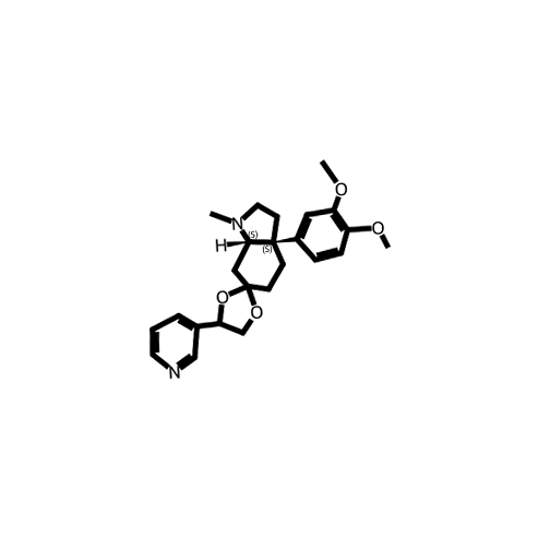 COc1ccc([C@]23CCN(C)[C@H]2CC2(CC3)OCC(c3cccnc3)O2)cc1OC